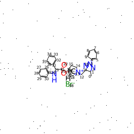 Cc1nn(-c2ccccc2)nc1C[N+]12CCC(CC1)[C@@H](OC(=O)[C@H](Nc1ccccc1)c1ccccc1)C2.[Br-]